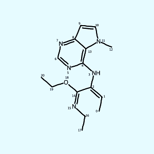 C/C=C(Nc1ncnc2ccn(C)c12)\C(=N/CC)OCC